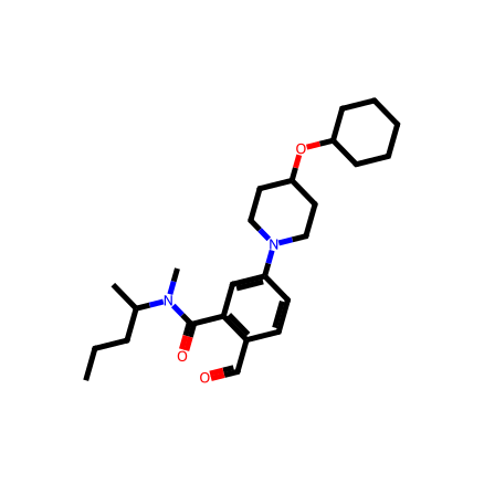 CCCC(C)N(C)C(=O)c1cc(N2CCC(OC3CCCCC3)CC2)ccc1C=O